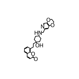 O=c1ccc2cccc(CCC3(O)CCC(NCc4cc5c(cn4)OCCO5)CC3)c2o1